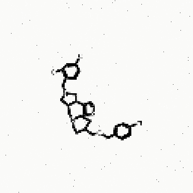 Clc1ccc(COCC2CCN(CC3CN(Cc4ccc(Cl)cc4Cl)CC3c3ccsc3)CC2)cc1